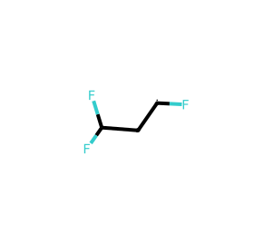 F[CH]CC(F)F